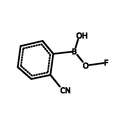 N#Cc1ccccc1B(O)OF